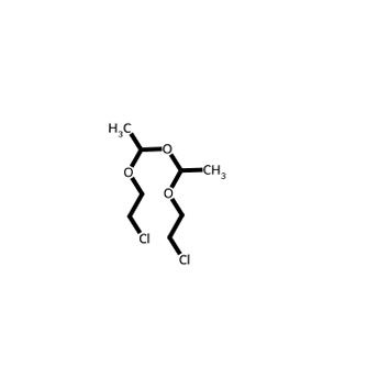 CC(OCCCl)OC(C)OCCCl